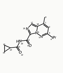 Cc1cc(C(C)C)nn2c(C(=O)NC(=O)C3CC3)ncc12